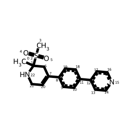 CC1(S(C)(=O)=O)CC(c2ccc(-c3ccncc3)cc2)=CCN1